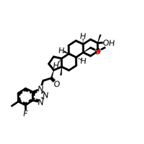 COC[C@]12CC[C@@](C)(O)C[C@@H]1CC[C@H]1[C@@H]3CC[C@H](C(=O)Cn4nnc5c(F)c(C)ccc54)[C@@]3(C)CC[C@@H]12